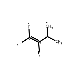 CC(C(F)=C(F)F)C(F)(F)F